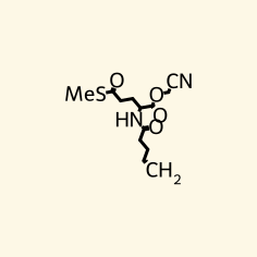 C=CCCC(=O)NC(CCC(=O)SC)C(=O)OCC#N